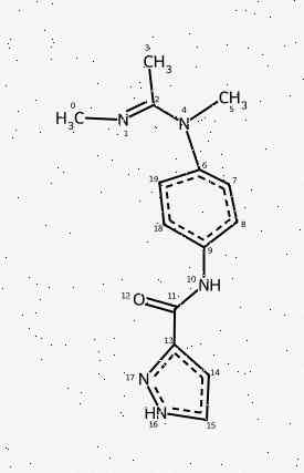 CN=C(C)N(C)c1ccc(NC(=O)c2cc[nH]n2)cc1